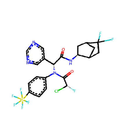 O=C(N[C@H]1CC2CC1CC2(F)F)[C@@H](c1cncnc1)N(C(=O)[C@H](F)Cl)c1ccc(S(F)(F)(F)(F)F)cc1